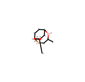 CC1CSC23CCC(CC2OC(C)CS3)O1